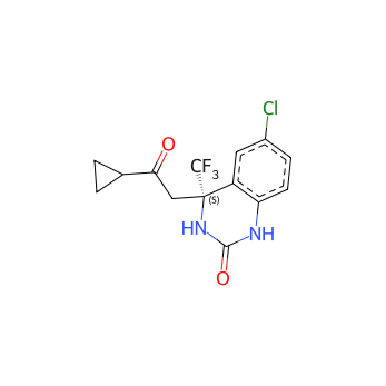 O=C1Nc2ccc(Cl)cc2[C@@](CC(=O)C2CC2)(C(F)(F)F)N1